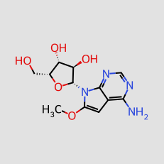 COc1cc2c(N)ncnc2n1[C@@H]1O[C@H](CO)[C@H](O)[C@H]1O